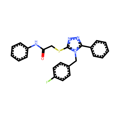 O=C(CSc1nnc(-c2ccccc2)n1Cc1ccc(F)cc1)Nc1ccccc1